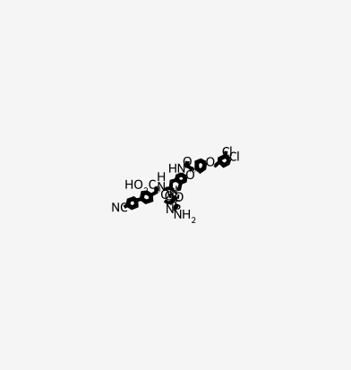 Cc1nc(N)sc1S(=O)(=O)N1Cc2cc3c(cc2CC1C(=O)N[C@@H](Cc1ccc(-c2ccc(C#N)cc2)cc1)C(=O)O)NC(=O)[C@H](c1ccc(OCc2ccc(Cl)c(Cl)c2)cc1)O3